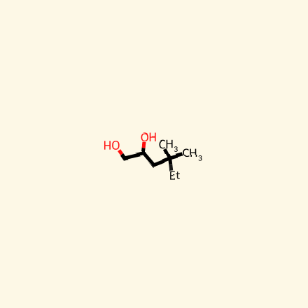 CCC(C)(C)CC(O)CO